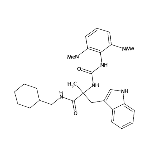 CNc1cccc(NC)c1NC(=O)NC(C)(Cc1c[nH]c2ccccc12)C(=O)NCC1CCCCC1